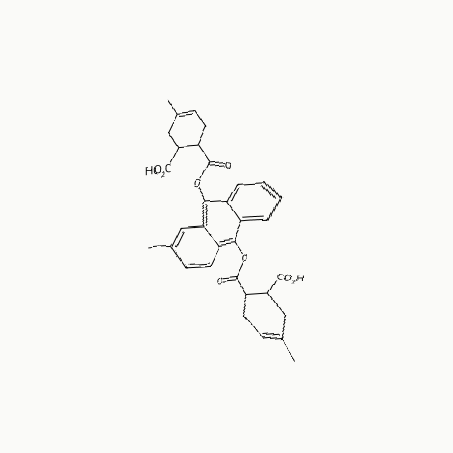 CC1=CCC(C(=O)Oc2c3ccccc3c(OC(=O)C3CC=C(C)CC3C(=O)O)c3cc(C)ccc23)C(C(=O)O)C1